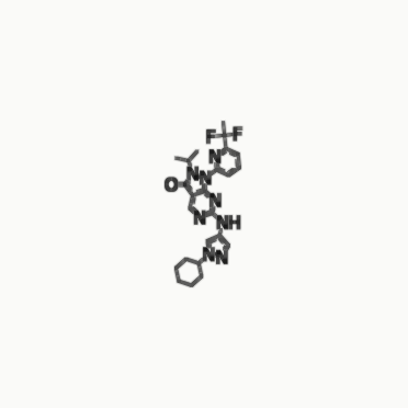 CC(C)n1c(=O)c2cnc(Nc3cnn(C4CCCCC4)c3)nc2n1-c1cccc(C(C)(F)F)n1